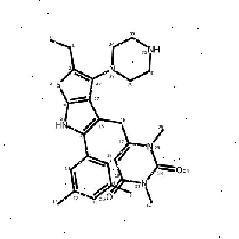 CCc1sc2[nH]c(-c3cc(C)cc(C)c3)c(Cc3cc(=O)n(C)c(=O)n3C)c2c1N1CCNCC1